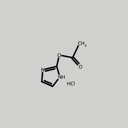 CC(=O)Oc1ncc[nH]1.Cl